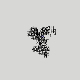 CC(C)(C)OC(=O)C(C)(C)O/N=C(/C(=O)NC1C(=O)N2C(C(=O)OC(c3ccccc3)c3ccccc3)=C(c3cnc(-c4ccncc4)s3)C[S+]([O-])C12)c1csc(NC(c2ccccc2)(c2ccccc2)c2ccccc2)n1